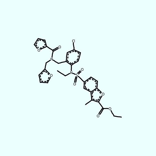 CCOC(=O)c1oc2ccc(S(=O)(=O)N(CC)c3ccc(Cl)cc3CN(Cc3ccco3)C(=O)c3ccco3)cc2c1C